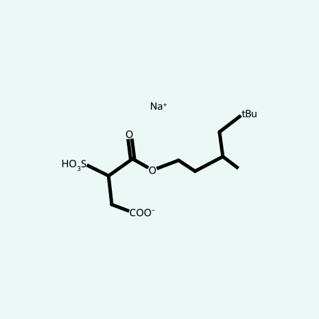 CC(CCOC(=O)C(CC(=O)[O-])S(=O)(=O)O)CC(C)(C)C.[Na+]